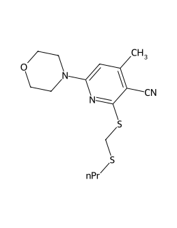 CCCSCSc1nc(N2CCOCC2)cc(C)c1C#N